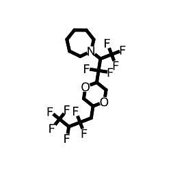 FC(C(F)(F)F)C(F)(F)CC1COC(C(F)(F)C(N2CCCCCC2)C(F)(F)F)CO1